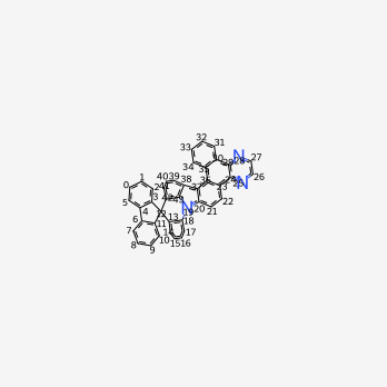 c1ccc2c(c1)-c1ccccc1C21c2ccccc2-n2c3ccc4c5nccnc5c5ccccc5c4c3c3cccc1c32